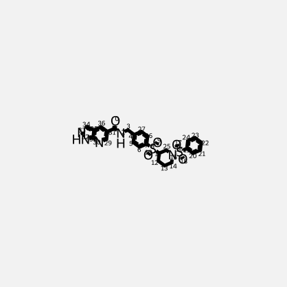 O=C(NCc1ccc(S(=O)(=O)C2CCCN(S(=O)(=O)c3ccccc3)C2)cc1)c1cnc2[nH]ncc2c1